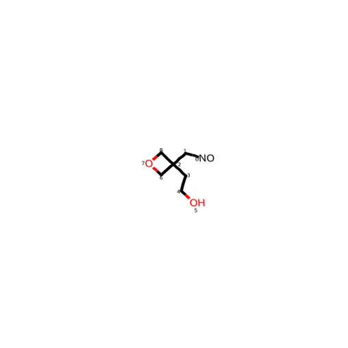 O=NCC1(CCO)COC1